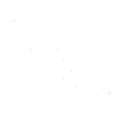 CCC1CC=C(c2ccc(CCC3CCC(c4ccc(C5CO5)cc4F)CC3)c(F)c2F)CC1